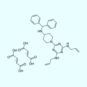 C=CCNc1nc(NCC=C)nc(N2CCC(NC(c3ccccc3)c3ccccc3)CC2)n1.O=C(O)/C=C/C(=O)O.O=C(O)/C=C/C(=O)O